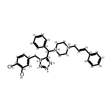 Clc1ccc(Cn2nnnc2C(c2ccccc2)N2CCN(C/C=C/c3ccccc3)CC2)cc1Cl